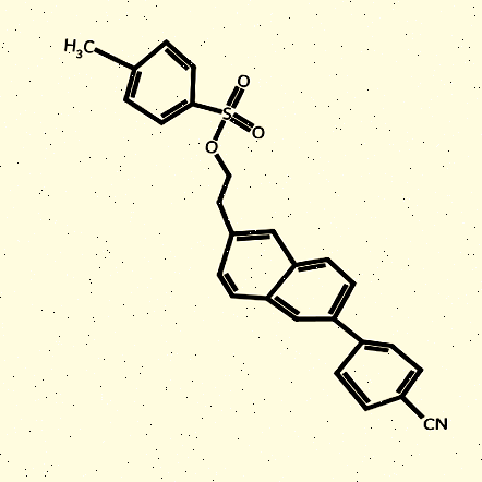 Cc1ccc(S(=O)(=O)OCCc2ccc3cc(-c4ccc(C#N)cc4)ccc3c2)cc1